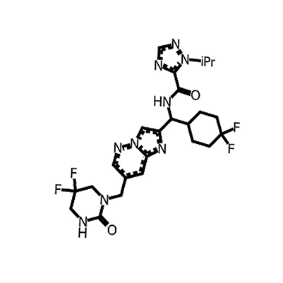 CC(C)n1ncnc1C(=O)NC(c1cn2ncc(CN3CC(F)(F)CNC3=O)cc2n1)C1CCC(F)(F)CC1